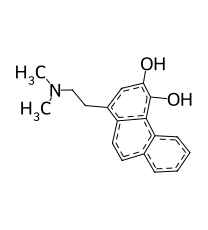 CN(C)CCc1cc(O)c(O)c2c1ccc1ccccc12